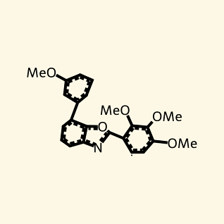 COc1cccc(-c2cccc3nc(-c4[c]cc(OC)c(OC)c4OC)oc23)c1